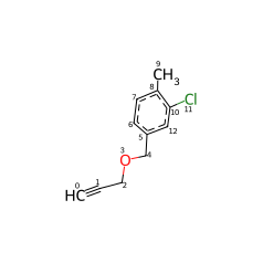 C#CCOCc1ccc(C)c(Cl)c1